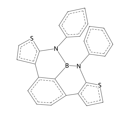 c1ccc(N2B3c4c(cccc4-c4ccsc4N3c3ccccc3)-c3ccsc32)cc1